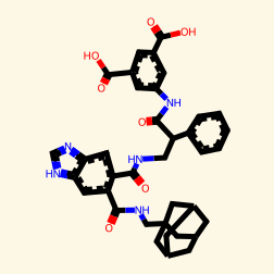 O=C(O)c1cc(NC(=O)C(CNC(=O)c2cc3nc[nH]c3cc2C(=O)NCC23CC4CC(CC(C4)C2)C3)c2ccccc2)cc(C(=O)O)c1